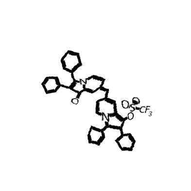 O=C1C2=CC(=Cc3ccn4c(-c5ccccc5)c(-c5ccccc5)c(OS(=O)(=O)C(F)(F)F)c4c3)C=CN2C(c2ccccc2)=C1c1ccccc1